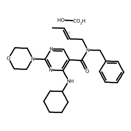 C/C=C/CN(Cc1ccccc1)C(=O)c1cnc(N2CCOCC2)nc1NC1CCCCC1.O=C(O)O